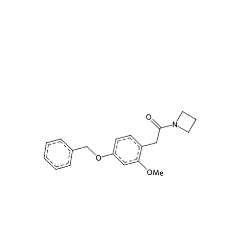 COc1cc(OCc2ccccc2)ccc1CC(=O)N1CCC1